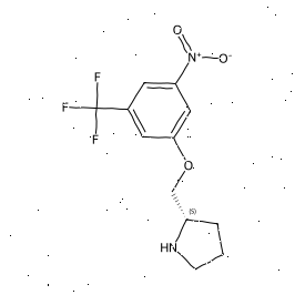 O=[N+]([O-])c1cc(OC[C@@H]2CCCN2)cc(C(F)(F)F)c1